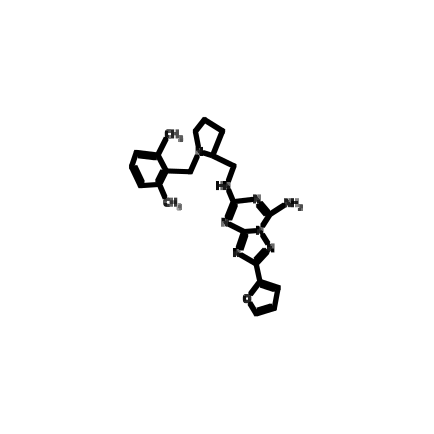 Cc1cccc(C)c1CN1CCCC1CNc1nc(N)n2nc(-c3ccco3)nc2n1